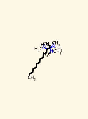 CCCCCCCCCCCC(N(C)C)C([SiH3])(N(C)C)N(C)C